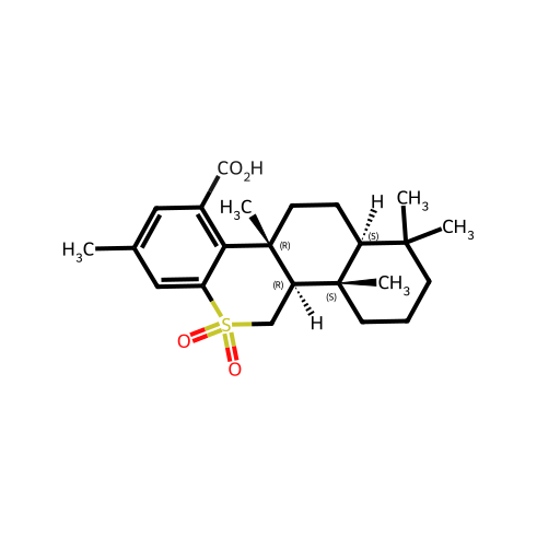 Cc1cc(C(=O)O)c2c(c1)S(=O)(=O)C[C@@H]1[C@@]3(C)CCCC(C)(C)[C@@H]3CC[C@@]21C